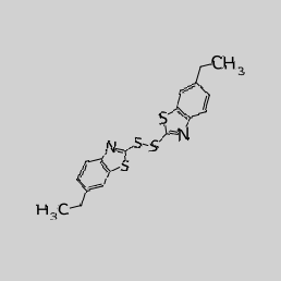 CCc1ccc2nc(SSc3nc4ccc(CC)cc4s3)sc2c1